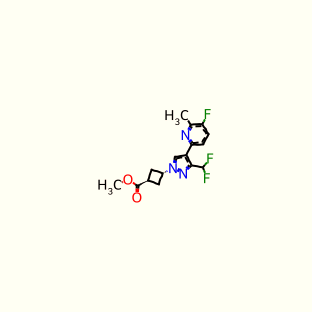 COC(=O)[C@H]1C[C@H](n2cc(-c3ccc(F)c(C)n3)c(C(F)F)n2)C1